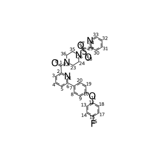 O=C(c1cccc(-c2ccc(Oc3ccc(F)cc3)cc2)n1)N1CCN(S(=O)(=O)c2ccccn2)CC1